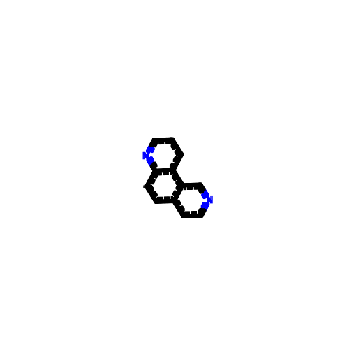 [c]1cc2ccncc2c2cccnc12